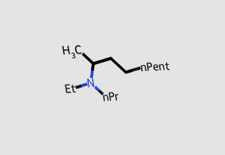 CCCCCCCC(C)N(CC)CCC